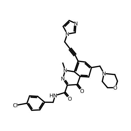 Cn1nc(C(=O)NCc2ccc(Cl)cc2)c(=O)c2cc(CN3CCOCC3)cc(C#CCn3ccnc3)c21